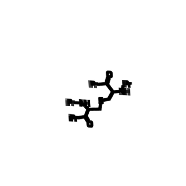 CC(C)NC(CSCC(NC(C)C)C(=O)C(C)C)C(=O)C(C)C